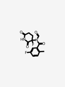 Cc1ccc(F)cc1C(=O)N(C=O)C1(F)CCC(=O)NC1=O